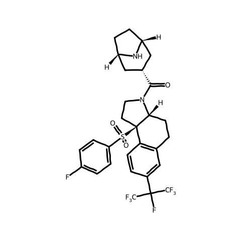 O=C([C@H]1C[C@H]2CC[C@@H](C1)N2)N1CC[C@@]2(S(=O)(=O)c3ccc(F)cc3)c3ccc(C(F)(C(F)(F)F)C(F)(F)F)cc3CC[C@@H]12